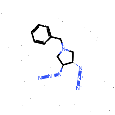 [N-]=[N+]=N[C@H]1CN(Cc2ccccc2)C[C@@H]1N=[N+]=[N-]